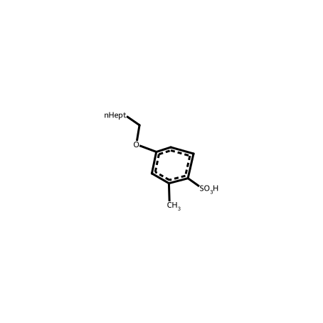 CCCCCCCCOc1ccc(S(=O)(=O)O)c(C)c1